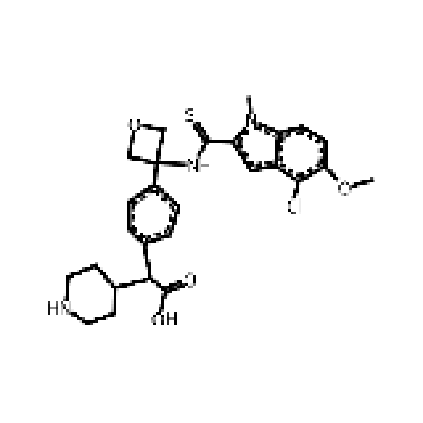 COc1ccc2c(cc(C(=S)NC3(c4ccc(C(C(=O)O)C5CCNCC5)cc4)COC3)n2C)c1Cl